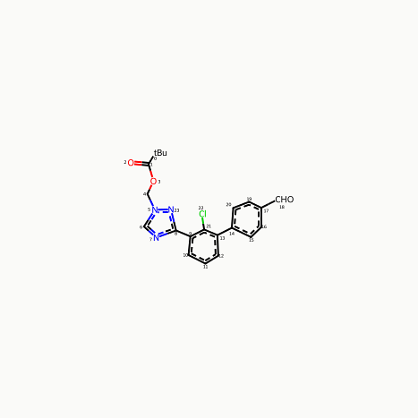 CC(C)(C)C(=O)OCn1cnc(-c2cccc(-c3ccc(C=O)cc3)c2Cl)n1